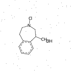 CC1CN(Cl)CCc2ccccc21.Cl